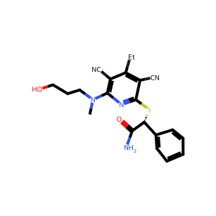 CCc1c(C#N)c(S[C@@H](C(N)=O)c2ccccc2)nc(N(C)CCCO)c1C#N